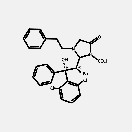 CC(C)(C)[C@H](C1N(CCc2ccccc2)CC(=O)N1C(=O)O)[C@](O)(c1ccccc1)c1c(Cl)cccc1Cl